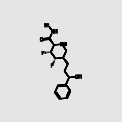 CCNC(=O)[C@H]1NC[C@@H](CCC(O)c2ccccc2)[C@H](F)[C@@H]1F